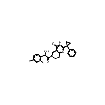 O=C(C(O)c1ccc(F)cc1F)N1CCc2nc(C3(c4ccccc4)CC3)[nH]c(=O)c2C1